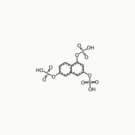 O=S(=O)(O)Oc1ccc2c(OS(=O)(=O)O)cc(OS(=O)(=O)O)cc2c1